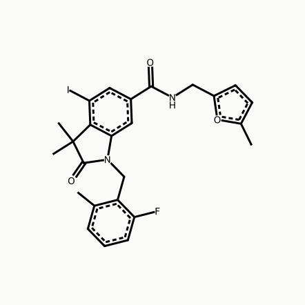 Cc1ccc(CNC(=O)c2cc(I)c3c(c2)N(Cc2c(C)cccc2F)C(=O)C3(C)C)o1